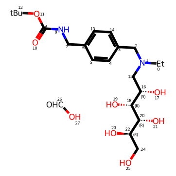 CCN(Cc1ccc(CNC(=O)OC(C)(C)C)cc1)C[C@H](O)[C@@H](O)[C@H](O)[C@H](O)CO.O=CO